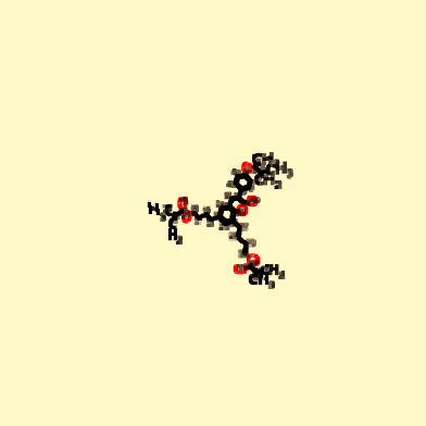 C=C(C)C(=C)Oc1ccc(-c2cc3cc(CCCCOC(=O)C(=C)C)cc(CCCCOC(=O)C(=C)C)c3oc2=O)cc1